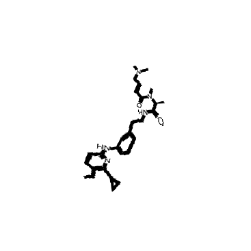 CCc1ccc(Nc2cccc(CCNC(=O)[C@H](C)N(C)C(=O)/C=C/CN(C)C)c2)nc1C1CC1